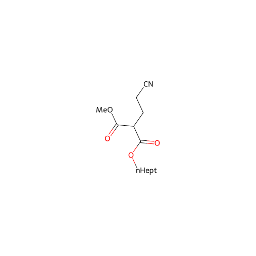 CCCCCCCOC(=O)C(CCC#N)C(=O)OC